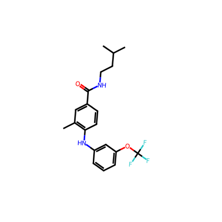 Cc1cc(C(=O)NCCC(C)C)ccc1Nc1cccc(OC(F)(F)F)c1